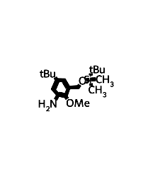 COc1c(N)cc(C(C)(C)C)cc1CO[Si](C)(C)C(C)(C)C